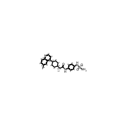 C[C@@H](C(=O)Nc1ccc(NS(N)(=O)=O)cc1)C1CCC(c2ccnc3ccc(F)cc23)CC1